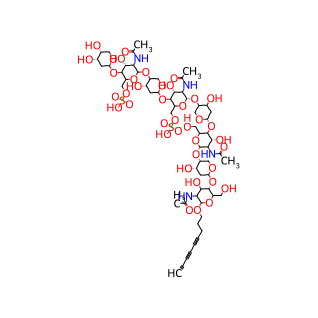 C#CC#CC#CCCCO[C@@H]1OC(CO)[C@@H](O[C@H]2C[C@H](O)[C@H](O[C@@H]3OC(CO)[C@@H](O[C@H]4C[C@H](O)C(O[C@@H]5OC(COS(=O)(=O)O)[C@@H](O[C@H]6C[C@H](O)[C@@H](OC7OC(COS(=O)(=O)O)[C@@H](O[C@H]8C[C@H](O)[C@H](O)CO8)[C@H](O)C7NC(C)=O)CO6)[C@H](O)C5NC(C)=O)CO4)[C@H](O)C3NC(C)=O)CO2)[C@H](O)C1NC(C)=O